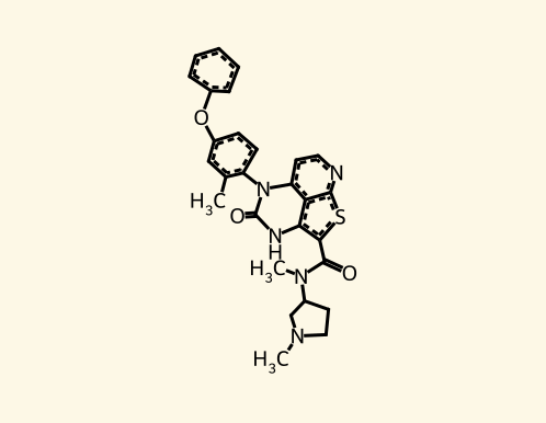 Cc1cc(Oc2ccccc2)ccc1N1C(=O)Nc2c(C(=O)N(C)C3CCN(C)C3)sc3nccc1c23